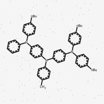 CCCCc1ccc(N(c2ccccc2)c2ccc(N(c3ccc(C)cc3)c3ccc(N(c4ccc(CCCC)cc4)c4ccc(CCCC)cc4)cc3)cc2)cc1